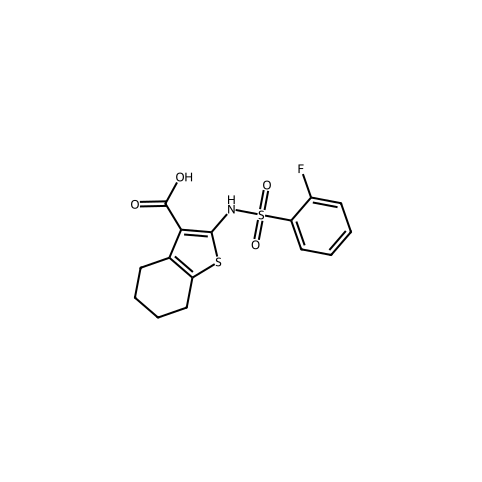 O=C(O)c1c(NS(=O)(=O)c2ccccc2F)sc2c1CCCC2